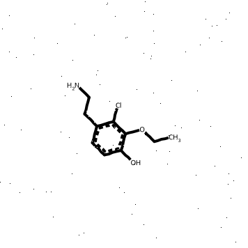 CCOc1c(O)ccc(CCN)c1Cl